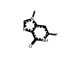 Cn1cnc2c(=O)[nH]c(F)cc21